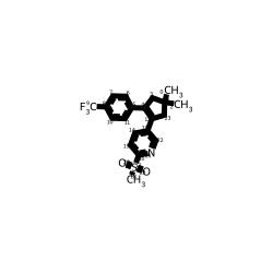 CC1(C)CC(c2ccc(C(F)(F)F)cc2)=C(c2ccc(S(C)(=O)=O)nc2)C1